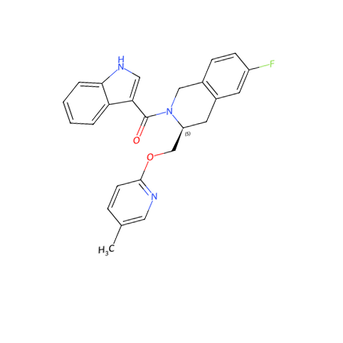 Cc1ccc(OC[C@@H]2Cc3cc(F)ccc3CN2C(=O)c2c[nH]c3ccccc23)nc1